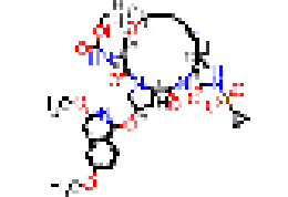 CC[C@@H]1O[C@H](C)CC/C=C\[C@@H]2C[C@@]2(C(=O)NS(=O)(=O)C2CC2)NC(=O)[C@@H]2C[C@@H](Oc3nc(OC)cc4cc(OC)ccc34)CN2C(=O)[C@H]1NC(=O)O